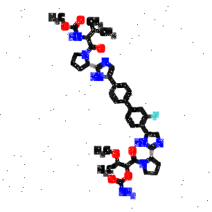 COC(=O)N[C@H](C(=O)N1CCC[C@H]1c1ncc(-c2ccc(-c3ccc(-c4cnc([C@@H]5CCCN5C(=O)[C@@H](OC(N)=O)[C@@H](C)OC)[nH]4)c(F)c3)cc2)[nH]1)C(C)C